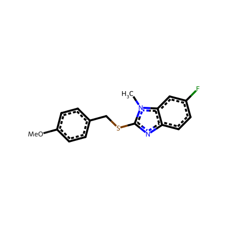 COc1ccc(CSc2nc3ccc(F)cc3n2C)cc1